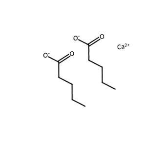 CCCCC(=O)[O-].CCCCC(=O)[O-].[Ca+2]